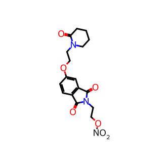 O=C1CCCCN1CCOc1ccc2c(c1)C(=O)N(CCO[N+](=O)[O-])C2=O